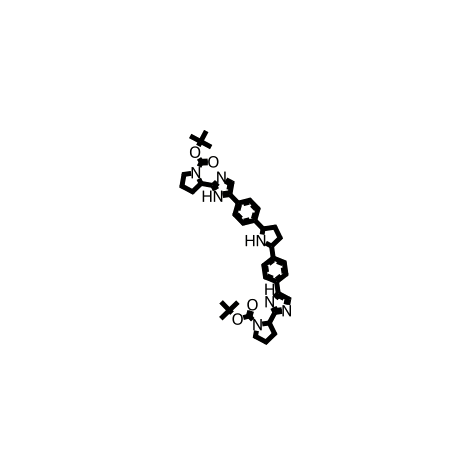 CC(C)(C)OC(=O)N1CCCC1c1ncc(-c2ccc(C3CCC(c4ccc(-c5cnc(C6CCCN6C(=O)OC(C)(C)C)[nH]5)cc4)N3)cc2)[nH]1